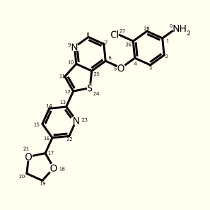 Nc1ccc(Oc2ccnc3cc(-c4ccc(C5OCCO5)cn4)sc23)c(Cl)c1